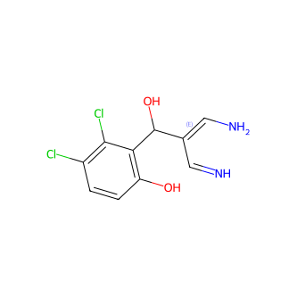 N=C/C(=C\N)C(O)c1c(O)ccc(Cl)c1Cl